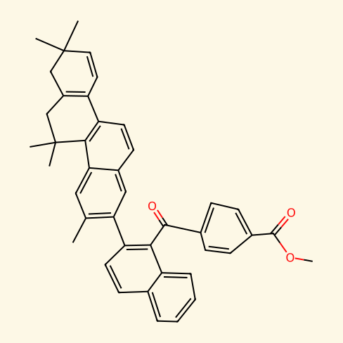 COC(=O)c1ccc(C(=O)c2c(-c3cc4ccc5c(c4cc3C)C(C)(C)CC3=C5C=CC(C)(C)C3)ccc3ccccc23)cc1